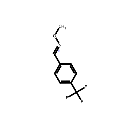 CO/N=C/c1ccc(C(F)(F)F)cc1